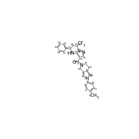 Cc1ccc(-n2cc3c(n2)CCN(C(=O)c2cnn4c2NC(c2ccccc2)CC4C(F)(F)F)C3)cc1